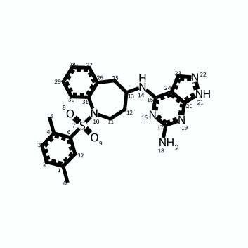 Cc1ccc(C)c(S(=O)(=O)N2CCC(Nc3nc(N)nc4[nH]ncc34)Cc3ccccc32)c1